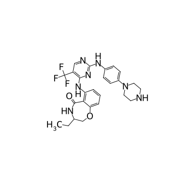 CCC1COc2cccc(Nc3nc(Nc4ccc(N5CCNCC5)cc4)ncc3C(F)(F)F)c2C(=O)N1